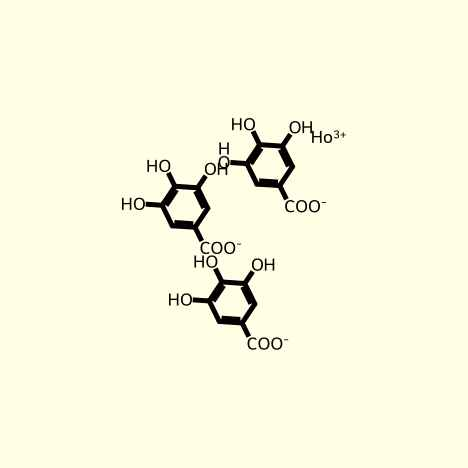 O=C([O-])c1cc(O)c(O)c(O)c1.O=C([O-])c1cc(O)c(O)c(O)c1.O=C([O-])c1cc(O)c(O)c(O)c1.[Ho+3]